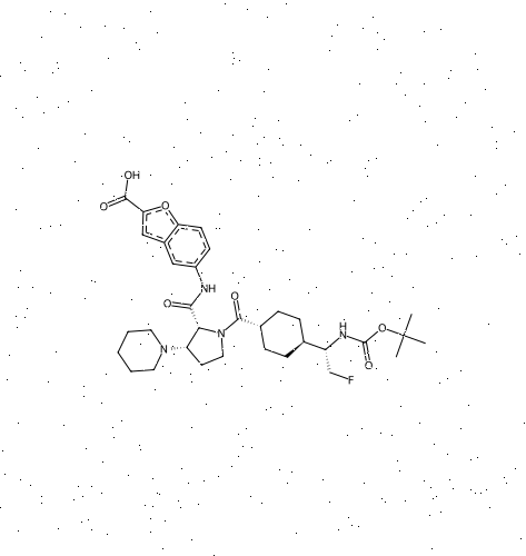 CC(C)(C)OC(=O)N[C@H](CF)[C@H]1CC[C@H](C(=O)N2CC[C@H](N3CCCCC3)[C@@H]2C(=O)Nc2ccc3oc(C(=O)O)cc3c2)CC1